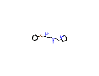 [NH][C@H](CCNCCc1ccccn1)CSc1ccccc1